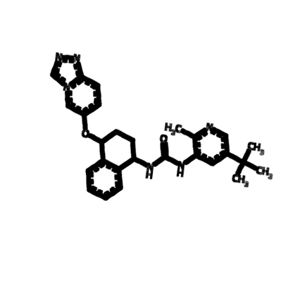 Cc1ncc(C(C)(C)C)cc1NC(=O)NC1CCC(Oc2ccc3nncn3c2)c2ccccc21